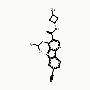 CC(C)Nc1c(C(=O)N[C@H]2C[C@H](N)C2)cnc2c1[nH]c1cc(C#N)ccc12